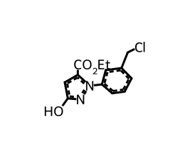 CCOC(=O)c1cc(O)nn1-c1cccc(CCl)c1